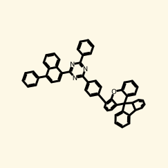 C1=CC2c3ccccc3C3(c4ccccc4Oc4c(-c5ccc(-c6nc(-c7ccccc7)nc(-c7ccc(-c8ccccc8)c8ccccc78)n6)cc5)cccc43)C2C=C1